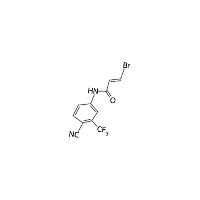 N#Cc1ccc(NC(=O)/C=C/Br)cc1C(F)(F)F